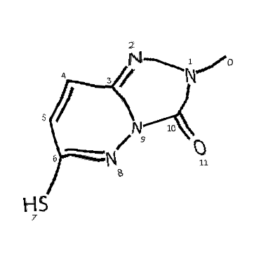 Cn1nc2ccc(S)nn2c1=O